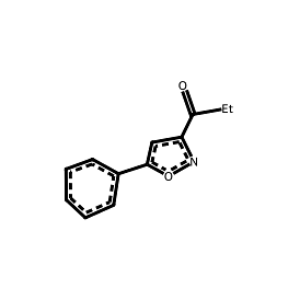 CCC(=O)c1cc(-c2ccccc2)on1